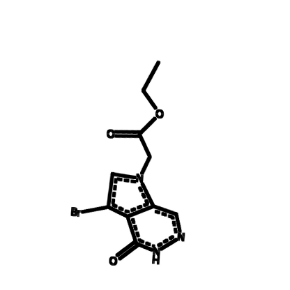 CCOC(=O)Cn1cc(Br)c2c(=O)[nH]ncc21